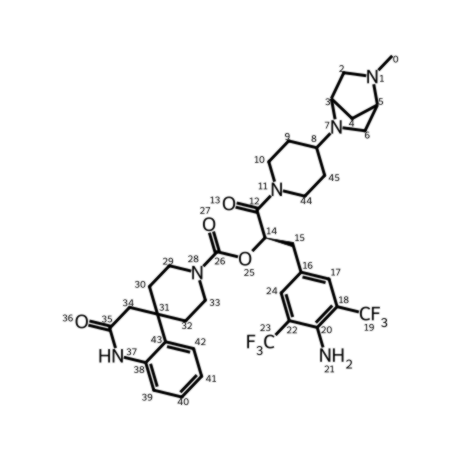 CN1CC2CC1CN2C1CCN(C(=O)[C@@H](Cc2cc(C(F)(F)F)c(N)c(C(F)(F)F)c2)OC(=O)N2CCC3(CC2)CC(=O)Nc2ccccc23)CC1